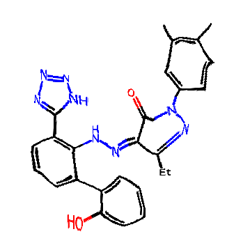 CCC1=NN(c2ccc(C)c(C)c2)C(=O)C1=NNc1c(-c2nnn[nH]2)cccc1-c1ccccc1O